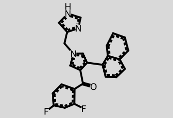 O=C(c1ccc(F)cc1F)c1cn(Cc2c[nH]cn2)cc1-c1cccc2ccccc12